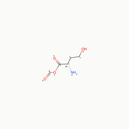 N[C@@H](CCO)C(=O)OC=O